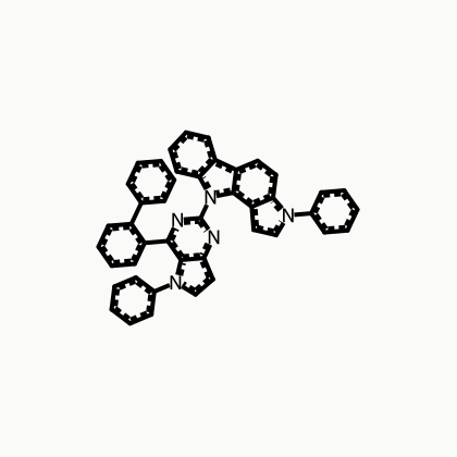 c1ccc(-c2ccccc2-c2nc(-n3c4ccccc4c4ccc5c(ccn5-c5ccccc5)c43)nc3ccn(-c4ccccc4)c23)cc1